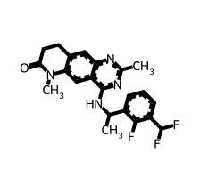 Cc1nc(NC(C)c2cccc(C(F)F)c2F)c2cc3c(cc2n1)CCC(=O)N3C